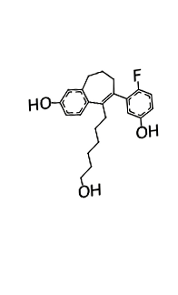 OCCCCCCC1=C(c2cc(O)ccc2F)CCCc2cc(O)ccc21